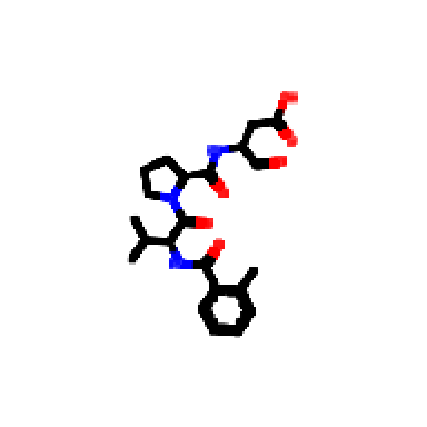 Cc1ccccc1C(=O)N[C@H](C(=O)N1CCC[C@H]1C(=O)N[C@H](C=O)CC(=O)O)C(C)C